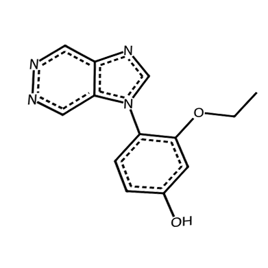 CCOc1cc(O)ccc1-n1cnc2cnncc21